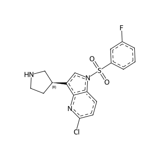 O=S(=O)(c1cccc(F)c1)n1cc([C@H]2CCNC2)c2nc(Cl)ccc21